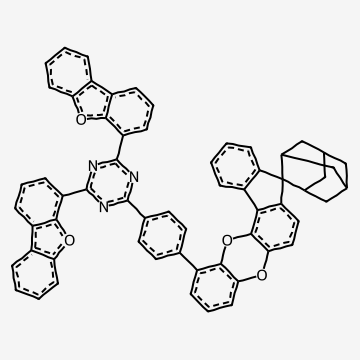 c1ccc2c(c1)-c1c(ccc3c1Oc1c(cccc1-c1ccc(-c4nc(-c5cccc6c5oc5ccccc56)nc(-c5cccc6c5oc5ccccc56)n4)cc1)O3)C21C2CC3CC(C2)CC1C3